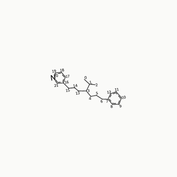 C[C](C)C(CCCc1ccccc1)CCCc1cccnc1